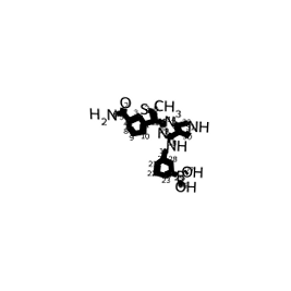 Cc1sc2c(C(N)=O)cccc2c1-c1nc2c(c(NCc3cccc(B(O)O)c3)n1)CNC2